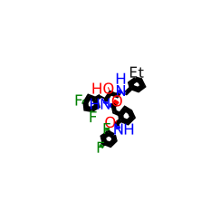 CCc1cccc(CNC[C@@H](O)[C@H](Cc2cc(F)cc(F)c2)NC(=O)Cc2ccccc2C(=O)Nc2ccc(F)cc2F)c1